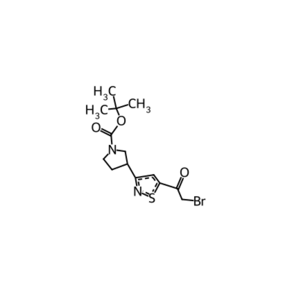 CC(C)(C)OC(=O)N1CCC(c2cc(C(=O)CBr)sn2)C1